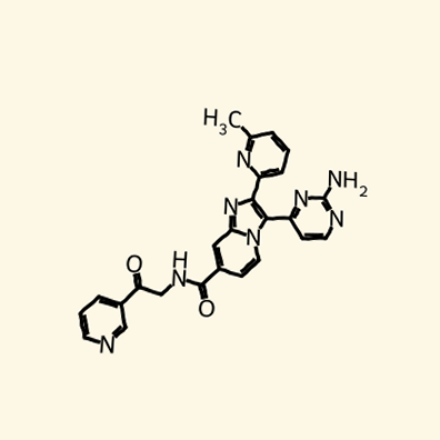 Cc1cccc(-c2nc3cc(C(=O)NCC(=O)c4cccnc4)ccn3c2-c2ccnc(N)n2)n1